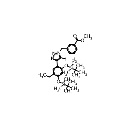 CCc1cc(-c2nnn(Cc3cccc(C(=O)OC)c3)c2I)c(O[Si](C)(C)C(C)(C)C)cc1O[Si](C)(C)C(C)(C)C